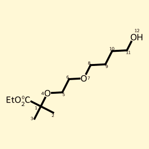 CCOC(=O)C(C)(C)OCCOCCCCO